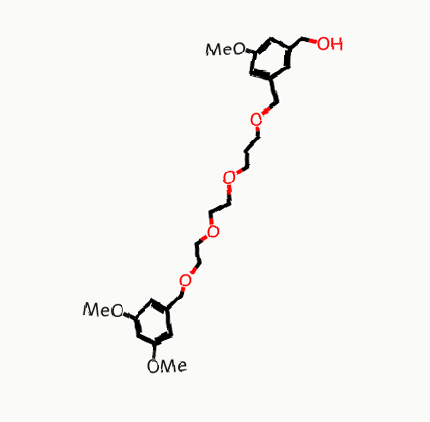 COc1cc(CO)cc(COCCCOCCOCCOCc2cc(OC)cc(OC)c2)c1